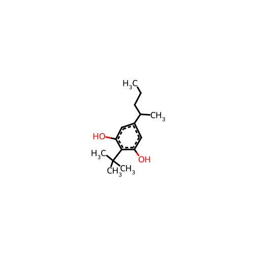 CCCC(C)c1cc(O)c(C(C)(C)C)c(O)c1